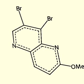 COc1ccc2ncc(Br)c(Br)c2n1